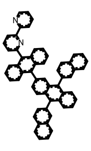 c1ccc(-c2cccc(-c3c4ccccc4c(-c4ccc5c(-c6ccc7ccccc7c6)c6ccccc6c(-c6ccc7ccccc7c6)c5c4)c4ccccc34)n2)nc1